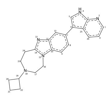 c1cnc2[nH]cc(-c3ccc4c(c3)nc3n4CCN(C4CCC4)CC3)c2c1